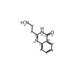 NCCc1nc2ccccc2c(=O)[nH]1